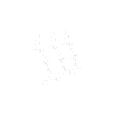 O=C(NCc1ccc(S(=O)(=O)N2CCN(C(=O)C=Cc3ccccc3)CC2)s1)c1ccc(Cl)cc1.O=C(NCc1ccc(S(=O)(=O)N2CCN(C(=O)c3ccc([N+](=O)[O-])cc3)CC2)s1)c1ccc(Cl)cc1.O=C(NCc1ccc(S(=O)(=O)N2CCN(C(=O)c3ccccc3)CC2)s1)c1ccc(Cl)cc1